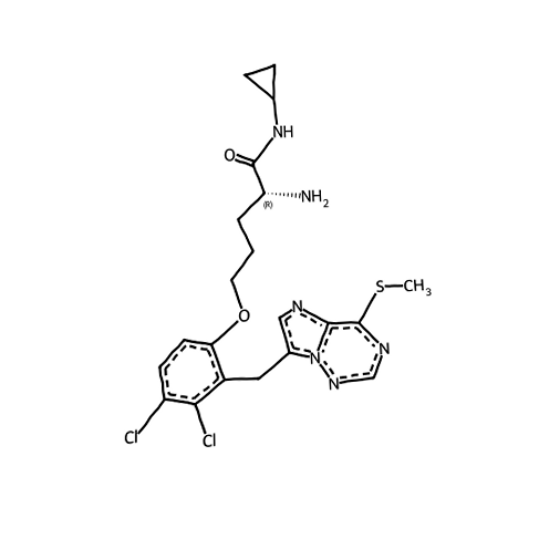 CSc1ncnn2c(Cc3c(OCCC[C@@H](N)C(=O)NC4CC4)ccc(Cl)c3Cl)cnc12